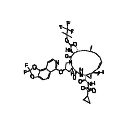 C[C@H]1CC/C=C\[C@@H]2C[C@@]2(C(=O)NS(=O)(=O)C2CC2)NC(=O)[C@@H]2C[C@@H](Oc3nccc4c5c(ccc34)OC(F)(F)O5)CN2C(=O)[C@@H](NC(=O)OC(C)(C)C(F)(F)F)[C@H](C)C1